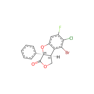 O=C1OC[C@@H]2c3c(cc(F)c(Cl)c3Br)O[C@]12c1ccccc1